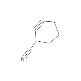 N#CC1C#CCCC1